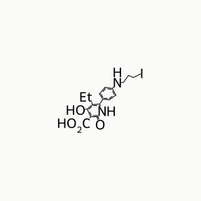 CCc1c(-c2ccc(NCCCI)cc2)[nH]c(=O)c(C(=O)O)c1O